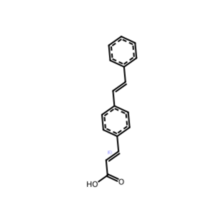 O=C(O)/C=C/c1ccc(C=Cc2ccccc2)cc1